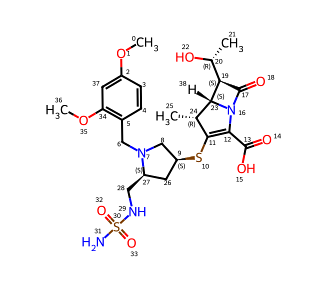 COc1ccc(CN2C[C@@H](SC3=C(C(=O)O)N4C(=O)[C@H]([C@@H](C)O)[C@H]4[C@H]3C)C[C@H]2CNS(N)(=O)=O)c(OC)c1